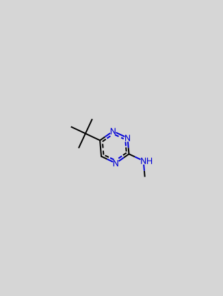 CNc1ncc(C(C)(C)C)nn1